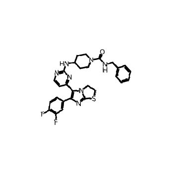 O=C(NCc1ccccc1)N1CCC(Nc2nccc(-c3c(-c4ccc(F)c(F)c4)nc4n3CCS4)n2)CC1